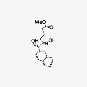 COC(=O)CCCC(=NO)C(=NO)c1ccc2ccccc2c1